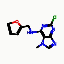 Cn1cnc2nc(Cl)nc(NCc3ccco3)c21